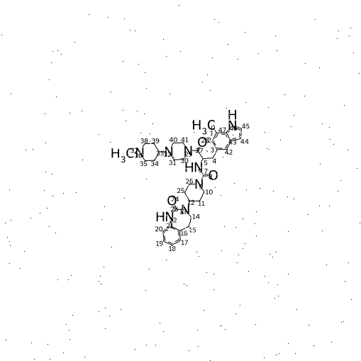 Cc1cc(CC(NC(=O)N2CCC(N3CCc4ccccc4NC3=O)CC2)C(=O)N2CCN(C3CCN(C)CC3)CC2)cc2cc[nH]c12